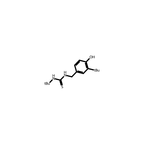 CC(C)(C)NC(=S)NCc1ccc(O)c(C(C)(C)C)c1